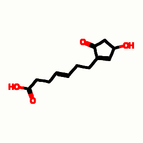 O=C(O)CC/C=C/CCC1=CC(O)CC1=O